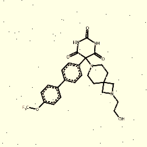 O=C1NC(=O)C(c2ccc(-c3ccc(OC(F)(F)F)cc3)cc2)(N2CCC3(CC2)CN(CCO)C3)C(=O)N1